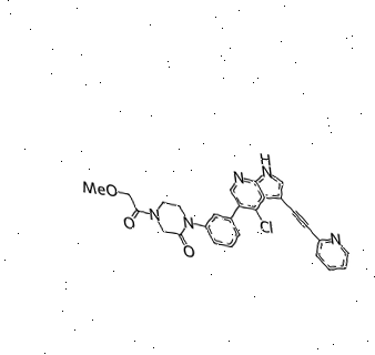 COCC(=O)N1CCN(c2cccc(-c3cnc4[nH]cc(C#Cc5ccccn5)c4c3Cl)c2)C(=O)C1